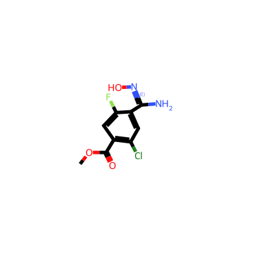 COC(=O)c1cc(F)c(/C(N)=N\O)cc1Cl